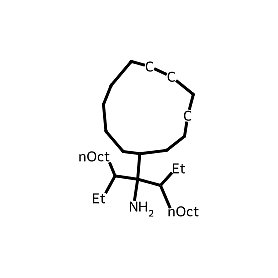 CCCCCCCCC(CC)C(N)(C(CC)CCCCCCCC)C1CCCCCCCCCCC1